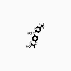 CC(Oc1ccc(Oc2ccc(C(F)(F)F)cn2)cc1)C(=O)O.Cl